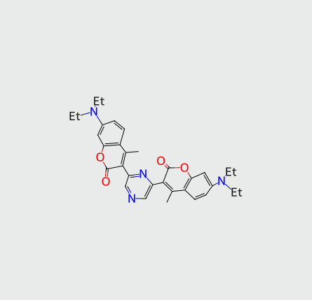 CCN(CC)c1ccc2c(C)c(-c3cncc(-c4c(C)c5ccc(N(CC)CC)cc5oc4=O)n3)c(=O)oc2c1